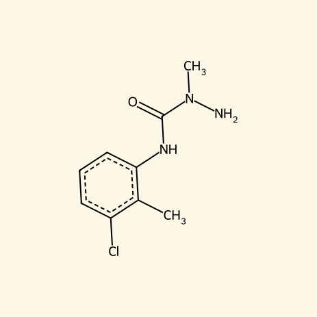 Cc1c(Cl)cccc1NC(=O)N(C)N